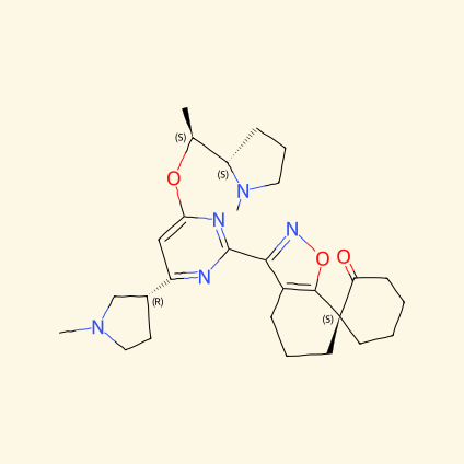 C[C@H](Oc1cc([C@@H]2CCN(C)C2)nc(-c2noc3c2CCC[C@@]32CCCCC2=O)n1)[C@@H]1CCCN1C